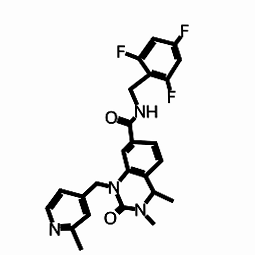 Cc1cc(CN2C(=O)N(C)C(C)c3ccc(C(=O)NCc4c(F)cc(F)cc4F)cc32)ccn1